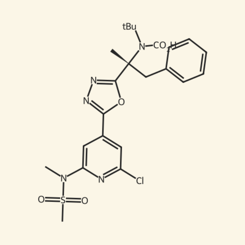 CN(c1cc(-c2nnc([C@@](C)(Cc3ccccc3)N(C(=O)O)C(C)(C)C)o2)cc(Cl)n1)S(C)(=O)=O